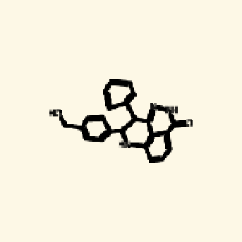 O=c1[nH]nc2c3c(cccc13)NC(c1ccc(CO)cc1)C2c1ccccc1